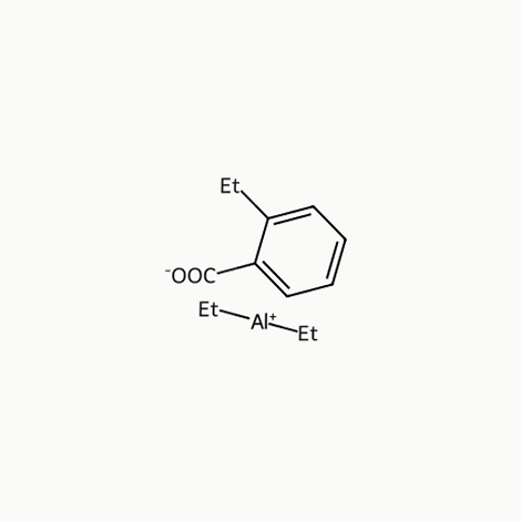 CCc1ccccc1C(=O)[O-].C[CH2][Al+][CH2]C